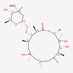 CC[C@H]1OC(=O)[C@H](C)[C@@H](OC[C@H]2C[C@@](C)(OC)[C@@H](O)[C@H](C)O2)[C@H](C)C[C@](C)(O)C[C@@H](C)CN(C)[C@H](C)[C@@H](O)[C@]1(C)O